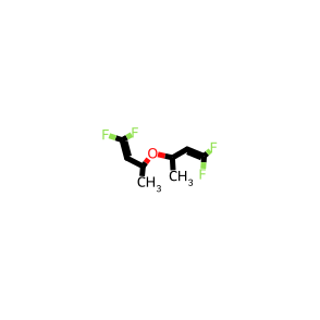 CC(C=C(F)F)OC(C)C=C(F)F